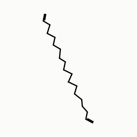 C=CCCCCC[CH]CCCCCCCCCC=C